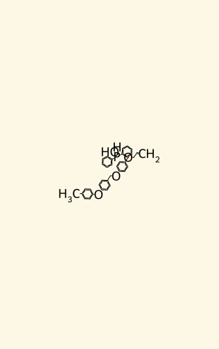 C=CCOc1ccc(OCc2ccc(Oc3ccc(C)cc3)cc2)cc1[PH](O)(c1ccccc1)c1ccccc1